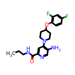 CCCNC(=O)c1cc(N2CCC(Oc3ccc(F)cc3F)CC2)c(N)cn1